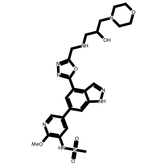 COc1ncc(-c2cc(-c3nnc(CNCC(O)CN4CCOCC4)o3)c3cn[nH]c3c2)cc1NS(C)(=O)=O